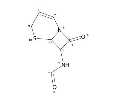 O=CNC1C(=O)N2C=CCSC12